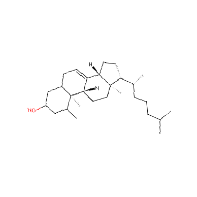 CC(C)CCC[C@@H](C)[C@H]1CC[C@H]2C3=CCC4CC(O)CC(C)[C@]4(C)[C@H]3CC[C@]12C